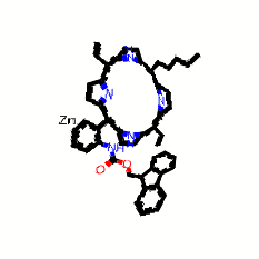 C=Cc1c2nc(c(-c3ccccc3NC(=O)OCC3c4ccccc4-c4ccccc43)c3ccc([nH]3)c(C=C)c3nc(c(CCCCC)c4ccc1[nH]4)C=C3)C=C2.[Zn]